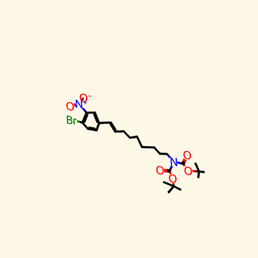 CC(C)(C)OC(=O)N(CCCCCCCC=Cc1ccc(Br)c([N+](=O)[O-])c1)C(=O)OC(C)(C)C